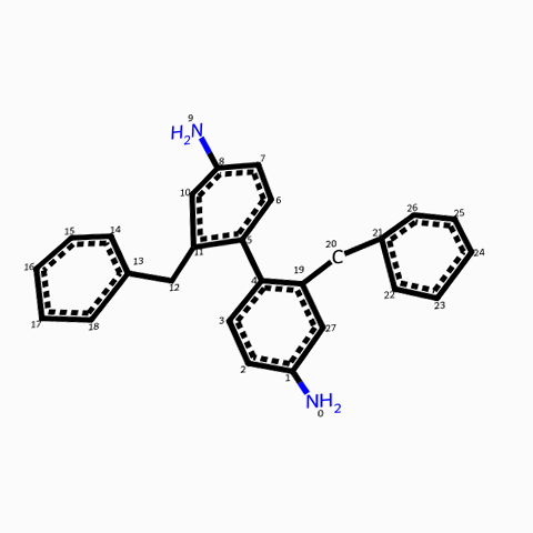 Nc1ccc(-c2ccc(N)cc2Cc2ccccc2)c(Cc2ccccc2)c1